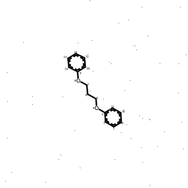 [c]1ccc(OCCCOc2ccccc2)cc1